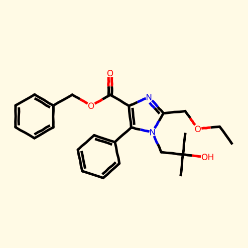 CCOCc1nc(C(=O)OCc2ccccc2)c(-c2ccccc2)n1CC(C)(C)O